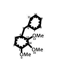 COc1ccc(Cc2ccccc2)c(OC)c1OC